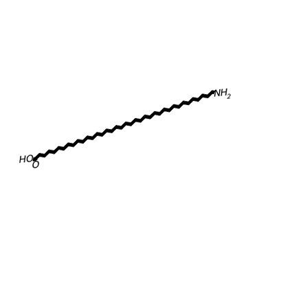 NCCCCCCCCCCCCCCCCCCCCCCCCCCCCCCCCCCCCCC(=O)O